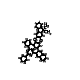 CC1(C)c2ccccc2-c2cc3c(cc21)Oc1cccc(-c2ccccc2-c2nc(-c4ccccc4)nc(-c4ccc5ccccc5c4)n2)c1O3